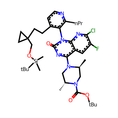 CCCc1nccc(CCC2(CO[Si](C)(C)C(C)(C)C)CC2)c1-n1c(=O)nc(N2C[C@@H](C)N(C(=O)OC(C)(C)C)C[C@@H]2C)c2cc(F)c(Cl)nc21